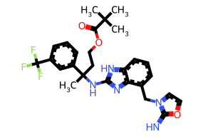 CC(C)(C)C(=O)OCCC(C)(Nc1nc2c(Cn3ccoc3=N)cccc2[nH]1)c1cccc(C(F)(F)F)c1